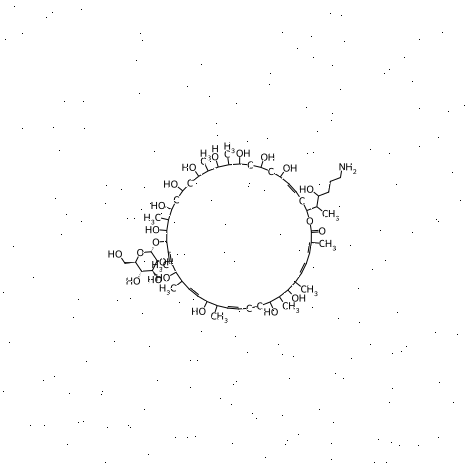 CC1=CC=CC(C)C(O)C(C)C(O)CCC=CC(C)C(O)C=CC(C)C(O)C(C)=CC(O[C@H]2O[C@H](CO)[C@@H](O)[C@H](O)[C@@H]2O)C(O)C(C)C(O)CC(O)CC(O)C(C)C(O)C(C)C(O)CC(O)CC(O)C=CCC(C(C)C(O)CCCN)OC1=O